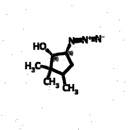 CC1C[C@H](N=[N+]=[N-])[C@H](O)C1(C)C